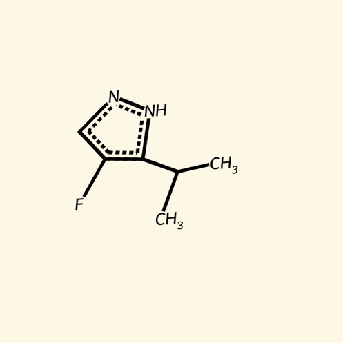 CC(C)c1[nH]ncc1F